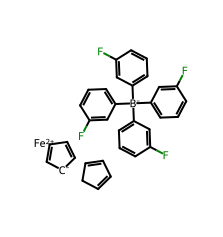 C1=CCC=C1.Fc1cccc([B-](c2cccc(F)c2)(c2cccc(F)c2)c2cccc(F)c2)c1.[Fe+2].c1cc[cH-]c1